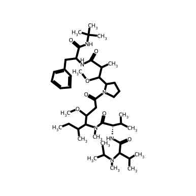 CCC(C)C(C(CC(=O)N1CCCC1C(OC)C(C)C(=O)NC(Cc1ccccc1)C(=O)NC(C)(C)C)OC)N(C)C(=O)[C@@H](NC(=O)C(C(C)C)N(C)C(C)C)C(C)C